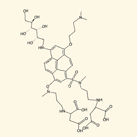 CN(C)CCCOc1cc(NC[C@H](O)[C@@H](O)[C@H](O)[C@H](O)CO)c2ccc3c(ON(C)CCCNC(CC(=O)O)C(=O)O)cc(S(=O)(=O)N(C)CCCNC(CC(=O)O)C(=O)O)c4ccc1c2c34